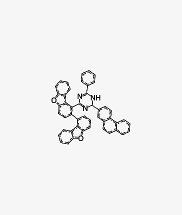 c1ccc(C2=NC(c3c(-c4cccc5oc6ccccc6c45)ccc4oc5ccccc5c34)=NC(c3ccc4c(ccc5ccccc54)c3)N2)cc1